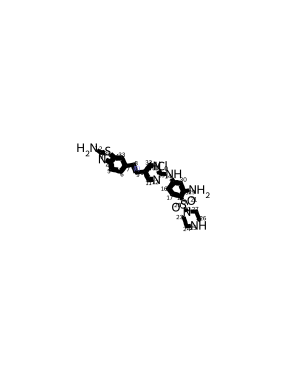 Cl.Nc1nc2ccc(/C=C/c3cnc(Nc4ccc(S(=O)(=O)N5CCNCC5)c(N)c4)nc3)cc2s1